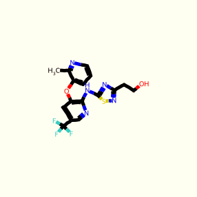 Cc1ncccc1Oc1cc(C(F)(F)F)cnc1Nc1nc(CCO)ns1